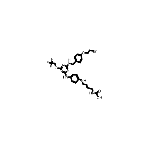 O=C(O)NCCCCNc1ccc(Nc2nc(NCc3ccc(OCCBr)cc3)nc(OCC(F)(F)F)n2)cc1